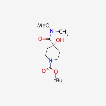 CON(C)C(=O)C1(O)CCN(C(=O)OC(C)(C)C)CC1